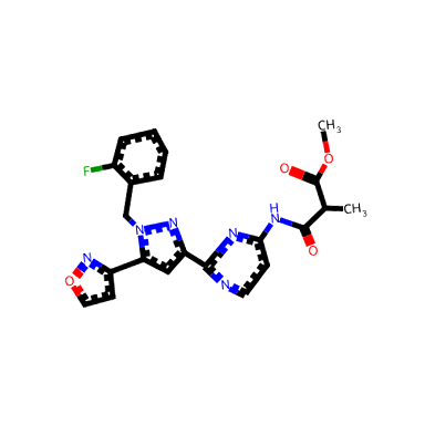 COC(=O)C(C)C(=O)Nc1ccnc(-c2cc(-c3ccon3)n(Cc3ccccc3F)n2)n1